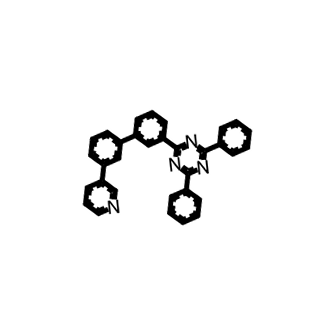 c1ccc(-c2nc(-c3ccccc3)nc(-c3cccc(-c4cccc(-c5cccnc5)c4)c3)n2)cc1